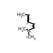 C/C=C/C=C\N(C)C